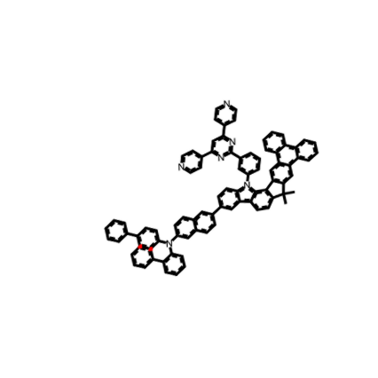 CC1(C)c2cc3c4ccccc4c4ccccc4c3cc2-c2c1ccc1c3cc(-c4ccc5cc(N(c6ccc(-c7ccccc7)cc6)c6ccccc6-c6ccccc6)ccc5c4)ccc3n(-c3cccc(-c4nc(-c5ccncc5)cc(-c5ccncc5)n4)c3)c21